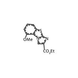 CCOC(=O)c1cn2c(n1)sc1cccc(OC)c12